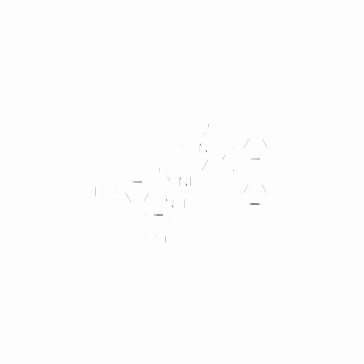 CC(C)(C)OC(=O)NC(C(=O)NC1C=C(C(=O)OC(c2ccccc2)c2ccccc2)N2C(=O)C[C@@H]2S1)c1ccc(O)cc1